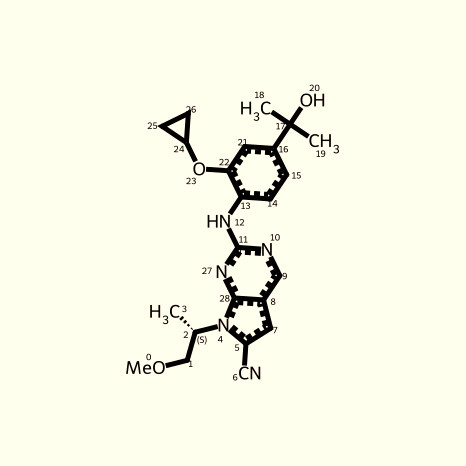 COC[C@H](C)n1c(C#N)cc2cnc(Nc3ccc(C(C)(C)O)cc3OC3CC3)nc21